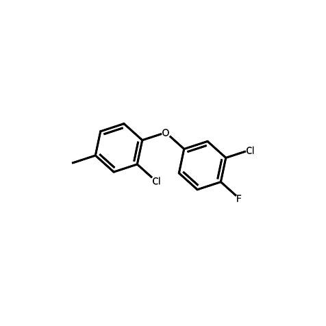 Cc1ccc(Oc2ccc(F)c(Cl)c2)c(Cl)c1